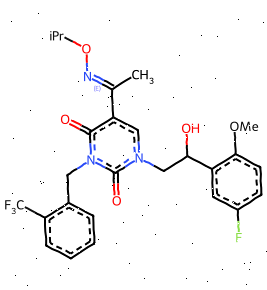 COc1ccc(F)cc1C(O)Cn1cc(/C(C)=N/OC(C)C)c(=O)n(Cc2ccccc2C(F)(F)F)c1=O